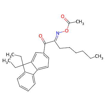 CCCCCC/C(=N\OC(C)=O)C(=O)c1ccc2c(c1)C(CC)(CC)c1ccccc1-2